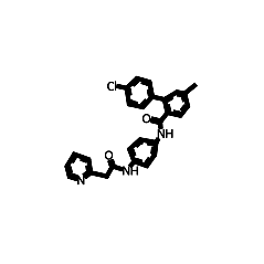 Cc1ccc(C(=O)Nc2ccc(NC(=O)Cc3ccccn3)cc2)c(-c2ccc(Cl)cc2)c1